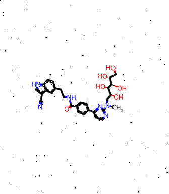 CN(C[C@H](O)[C@@H](O)[C@H](O)[C@H](O)CO)c1nccc(-c2ccc(C(=O)NCCc3ccc4[nH]cc(C#N)c4c3)cc2)n1